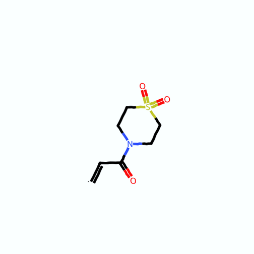 [CH]=CC(=O)N1CCS(=O)(=O)CC1